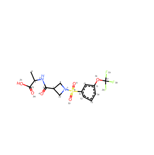 CC(NC(=O)C1CN(S(=O)(=O)c2cccc(OC(F)(F)F)c2)C1)C(=O)O